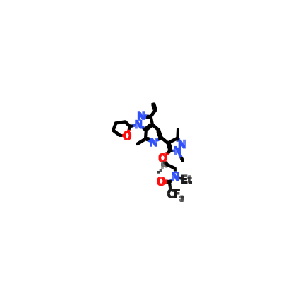 C=Cc1nn(C2CCCCO2)c2c(C)nc(-c3c(C)nn(C)c3O[C@@H](C)CN(CC)C(=O)C(F)(F)F)cc12